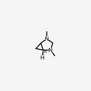 CN1CN(C)[C@@H]2CC21